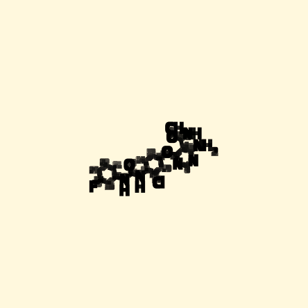 COC(=N)c1c(N)ncnc1Oc1ccc(NC(=O)Nc2cccc(F)c2)c(Cl)c1